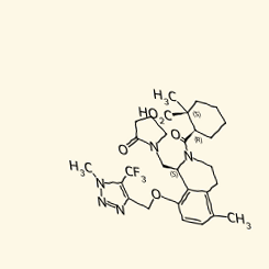 Cc1ccc(OCc2nnn(C)c2C(F)(F)F)c2c1CCN(C(=O)[C@@H]1CCCC[C@]1(C)C(=O)O)[C@@H]2CN1CCCC1=O